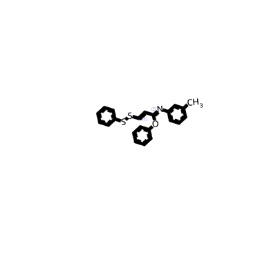 Cc1cccc(/N=C(/C=C/SSc2ccccc2)Oc2ccccc2)c1